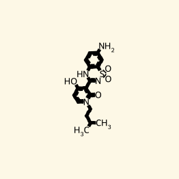 CC(C)CCn1ccc(O)c(C2=NS(=O)(=O)c3cc(N)ccc3N2)c1=O